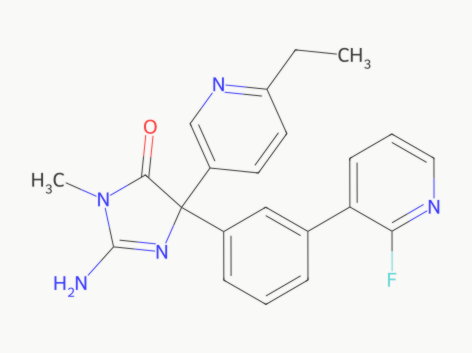 CCc1ccc(C2(c3cccc(-c4cccnc4F)c3)N=C(N)N(C)C2=O)cn1